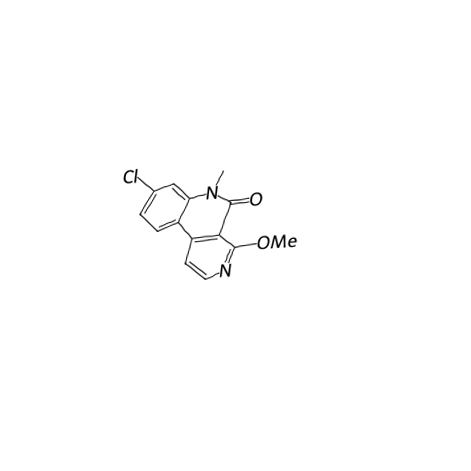 COc1nccc2c1c(=O)n(C)c1cc(Cl)ccc21